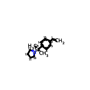 C=Cc1ccc([Si](C)(C)N2CCCC2)cc1